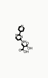 O=C(O)C(=CNc1ccnc(-c2ccncc2)n1)C(=O)O